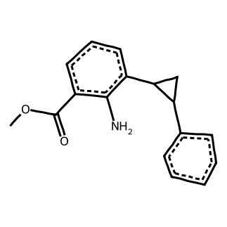 COC(=O)c1cccc(C2CC2c2ccccc2)c1N